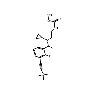 CC(c1cccc(C#C[Si](C)(C)C)c1F)N(CCNC(=O)OC(C)(C)C)C1CC1